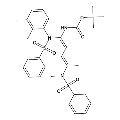 C/C(=C\C=C(\NC(=O)OC(C)(C)C)N(c1cccc(C)c1C)S(=O)(=O)c1ccccc1)N(C)S(=O)(=O)c1ccccc1